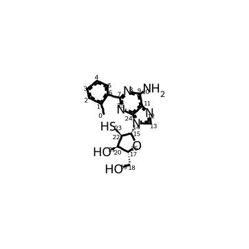 Cc1ccccc1-c1nc(N)c2ncn([C@@H]3O[C@H](CO)[C@@H](O)[C@H]3S)c2n1